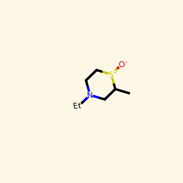 CCN1CC[S+]([O-])C(C)C1